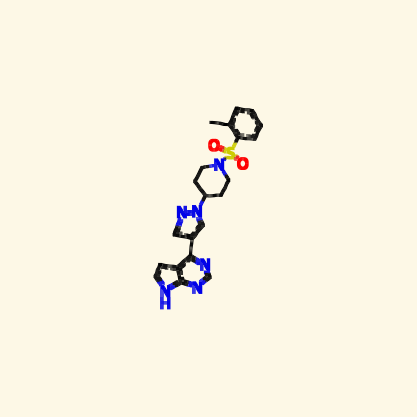 Cc1ccccc1S(=O)(=O)N1CCC(n2cc(-c3ncnc4[nH]ccc34)cn2)CC1